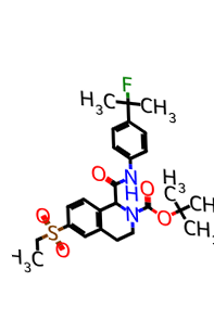 CCS(=O)(=O)c1ccc2c(c1)CCN(C(=O)OC(C)(C)C)C2C(=O)Nc1ccc(C(C)(C)F)cc1